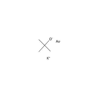 CC(C)(C)[O-].[Au].[K+]